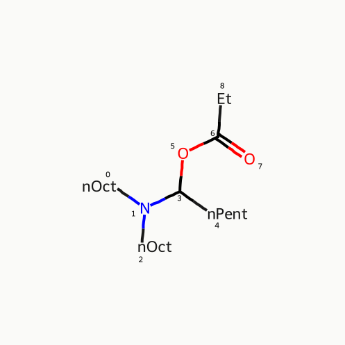 CCCCCCCCN(CCCCCCCC)C(CCCCC)OC(=O)CC